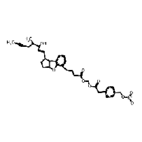 CC#CCC(C)C(O)/C=C/C1CCC2Oc3c(CCCC(=O)OCOC(=O)Cc4ccc(CO[N+](=O)[O-])cc4)cccc3C12